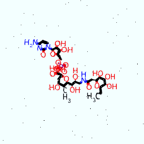 CCC1O[C@@H](CC(=O)NC[C@@H](O)[C@@H](O)C2OC(OP(=O)(O)OCC3OC(n4ccc(N)nc4=O)C(O)C3O)(C(=O)O)CC(O)C2C)C(O)[C@@H](O)[C@@H]1O